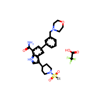 CCS(=O)(=O)N1CCC(c2c[nH]c3c(C(N)=O)cc(-c4cccc(CN5CCOCC5)c4)cc23)CC1.O=C(O)C(F)(F)F